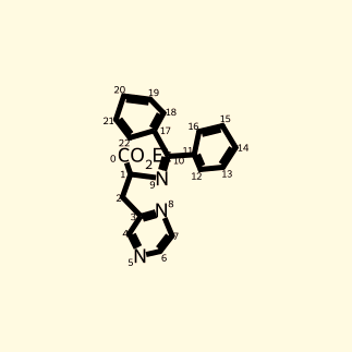 CCOC(=O)C(Cc1cnccn1)N=C(c1ccccc1)c1ccccc1